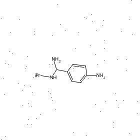 CC(C)NC(N)c1ccc(N)cc1